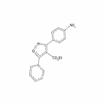 CCOC(=O)c1c(-c2ccc([N+](=O)[O-])cc2)noc1-c1ccccc1